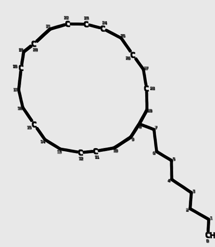 CCCCCCCCC1CCCCCCCCCCCCCCCCCCCCC1